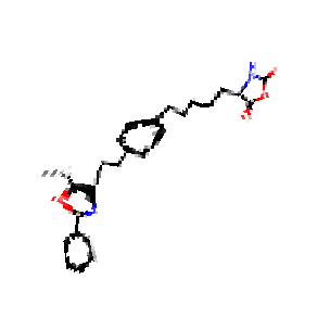 Cc1oc(-c2ccccc2)nc1CCc1ccc(CCCCCC2NC(=O)OC2=O)cc1